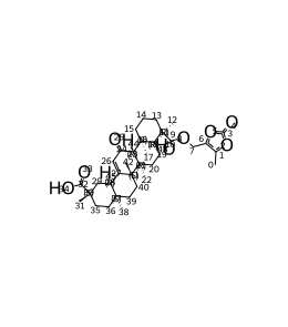 Cc1oc(=O)oc1COC(=O)[C@]1(C)CCC[C@@]2(C)[C@H]1CC[C@]1(C)[C@@H]2C(=O)C=C2[C@@H]3C[C@@](C)(C(=O)O)CC[C@]3(C)CC[C@]21C